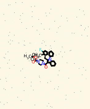 Cc1c(F)cccc1Cc1c(C(=O)N2CCN(C(=O)OC(C)(C)C)CC2)c2ccccc2n1-c1ccccc1